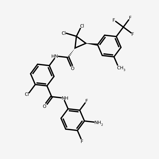 Cc1cc([C@H]2[C@H](C(=O)Nc3ccc(Cl)c(C(=O)Nc4ccc(F)c(N)c4F)c3)C2(Cl)Cl)cc(C(F)(F)F)c1